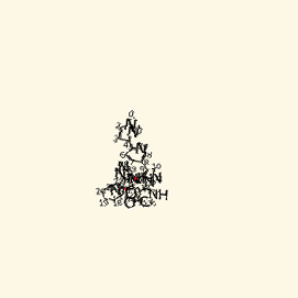 Cn1ccc(-c2ccc(-c3cnn4c5c(c(C6CC7CCC(C6)N7C(=O)c6nnc[nH]6)nc34)C(=O)CCN5)cn2)n1